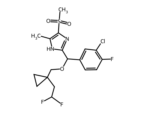 Cc1[nH]c(C(OCC2(CC(F)F)CC2)c2ccc(F)c(Cl)c2)nc1S(C)(=O)=O